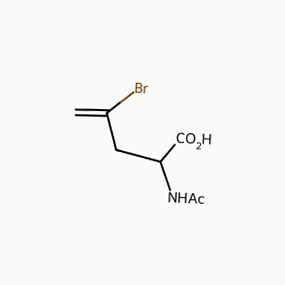 C=C(Br)CC(NC(C)=O)C(=O)O